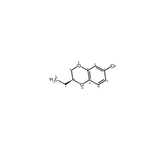 CC[C@H]1COc2cc(Cl)ccc2O1